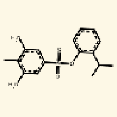 Cc1c(N)cc(S(=O)(=O)Oc2ccccc2C(C)C)cc1N